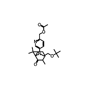 CC(=O)OCc1ccc(N(CCOC(C)(C)C)C23C(=O)C(C)CCC2C3(C)C)cn1